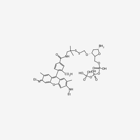 B[C@H]1C[C@@H](OCSSC(C)(C)CNC(=O)c2ccc(-c3c4cc(C)/c(=N\CC)cc-4oc4cc(NCC)c(C)cc34)c(C(=O)O)c2)C(COP(=O)(O)OP(=O)(O)OP(=O)(O)O)O1